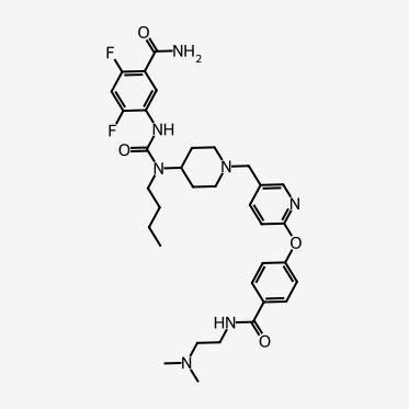 CCCCN(C(=O)Nc1cc(C(N)=O)c(F)cc1F)C1CCN(Cc2ccc(Oc3ccc(C(=O)NCCN(C)C)cc3)nc2)CC1